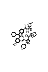 COc1ccc2c(c1)C=C(c1c(C(=O)N3CC4CCC(C3)N4C)cnn1C1CCOCC1)Cn1c-2c(C2CCCCC2)c2ccc(C(=O)NS(=O)(=O)CC(C)C)cc21